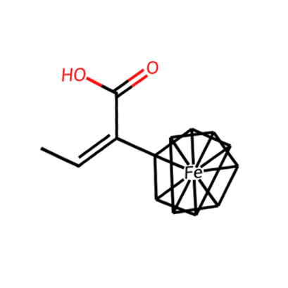 CC=C(C(=O)O)[C]12[CH]3[CH]4[CH]5[CH]1[Fe]45321678[CH]2[CH]1[CH]6[CH]7[CH]28